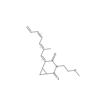 C=C\C=C/C=C(C)/C=C1\C(=O)N(CCOC)C(=S)C2CC12